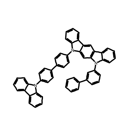 c1ccc(-c2cccc(-n3c4ccccc4c4cc5c6ccccc6n(-c6ccc(-c7ccc(-n8c9ccccc9c9ccccc98)cc7)cc6)c5cc43)c2)cc1